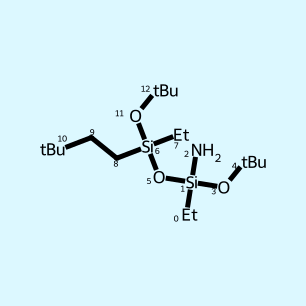 CC[Si](N)(OC(C)(C)C)O[Si](CC)(CCC(C)(C)C)OC(C)(C)C